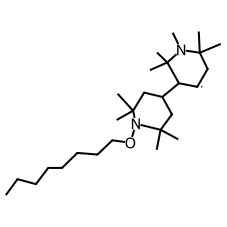 CCCCCCCCON1C(C)(C)CC(C2[CH]CC(C)(C)N(C)C2(C)C)CC1(C)C